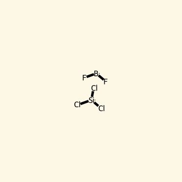 Cl[Si](Cl)Cl.F[B]F